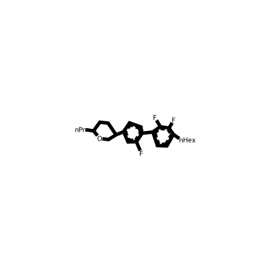 CCCCCCc1ccc(-c2ccc(C3CCC(CCC)OC3)cc2F)c(F)c1F